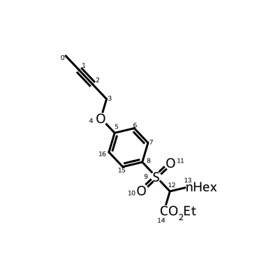 CC#CCOc1ccc(S(=O)(=O)C(CCCCCC)C(=O)OCC)cc1